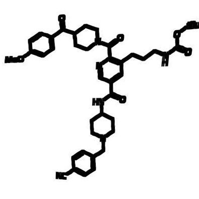 COc1ccc(C(=O)C2CCN(C(=O)c3ncc(C(=O)NC4CCN(Cc5ccc(C#N)cc5)CC4)cc3CCCNC(=O)OC(C)(C)C)CC2)cc1